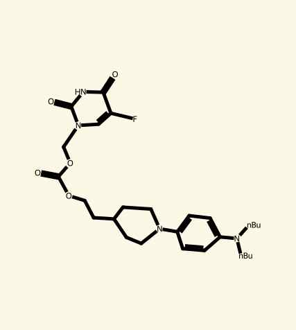 CCCCN(CCCC)c1ccc(N2CCC(CCOC(=O)OCn3cc(F)c(=O)[nH]c3=O)CC2)cc1